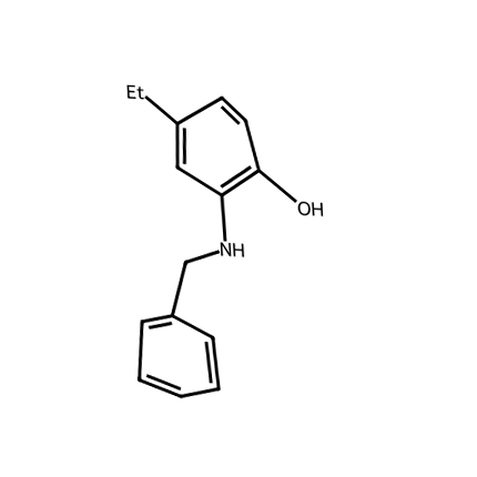 CCc1ccc(O)c(NCc2ccccc2)c1